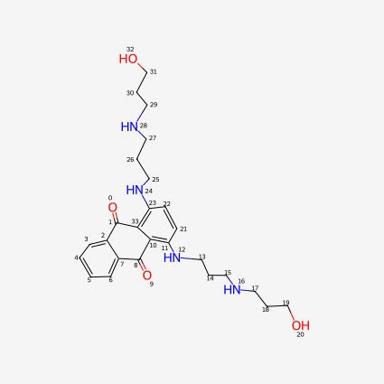 O=C1c2ccccc2C(=O)c2c(NCCCNCCCO)ccc(NCCCNCCCO)c21